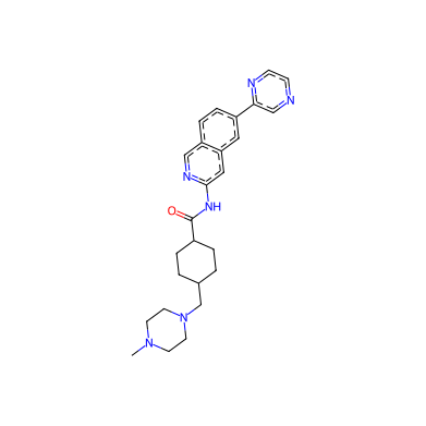 CN1CCN(CC2CCC(C(=O)Nc3cc4cc(-c5cnccn5)ccc4cn3)CC2)CC1